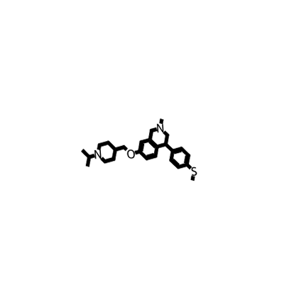 CSc1ccc(C2CN(C)Cc3cc(OCC4CCN(C(C)C)CC4)ccc32)cc1